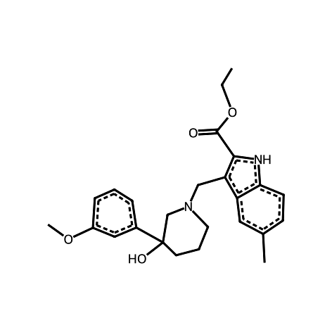 CCOC(=O)c1[nH]c2ccc(C)cc2c1CN1CCCC(O)(c2cccc(OC)c2)C1